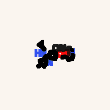 COc1cc2c(NCC3CC3)c3c(nc2cc1OCC1CCCN(C)O1)CC(C)C3